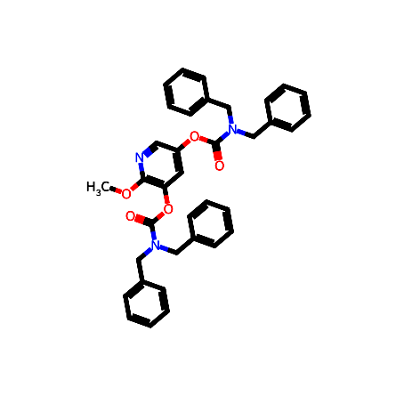 COc1ncc(OC(=O)N(Cc2ccccc2)Cc2ccccc2)cc1OC(=O)N(Cc1ccccc1)Cc1ccccc1